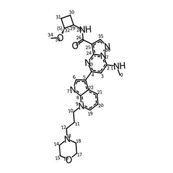 CNc1cc(-c2cnc3n(CCCN4CCOCC4)cccc2-3)nc2c(C(=O)NC3CC[C@@H]3OC)cnn12